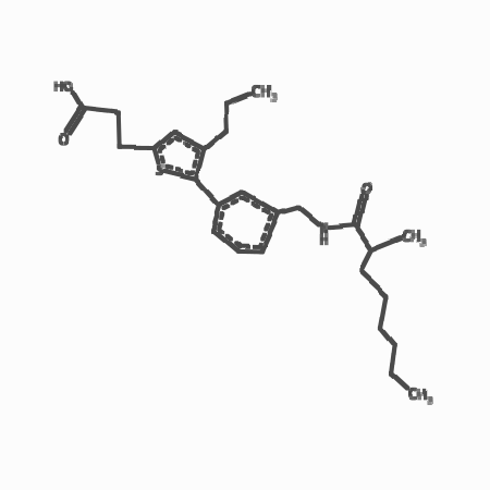 CCCCCCC(C)C(=O)NCc1cccc(-c2sc(CCC(=O)O)cc2CCC)c1